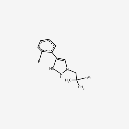 CCCC(C)(C)CN1C=C(c2ccccc2F)NN1